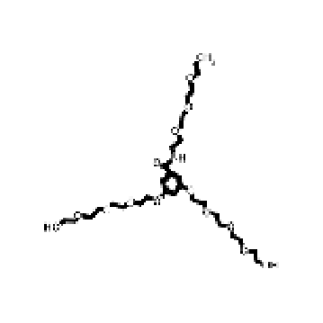 CCCOCCOCCOCCNC(=O)c1cc(OCCOCCOCCOCCO)cc(OCCOCCOCCOCCO)c1